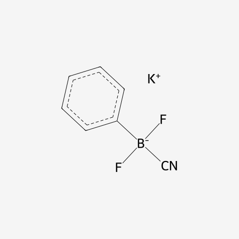 N#C[B-](F)(F)c1ccccc1.[K+]